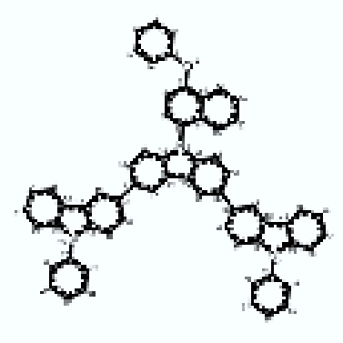 c1ccc(Oc2ccc(-n3c4ccc(-c5ccc6c(c5)c5ccccc5n6-c5ccccc5)cc4c4cc(-c5ccc6c(c5)c5ccccc5n6-c5ccccc5)ccc43)c3ccccc23)cc1